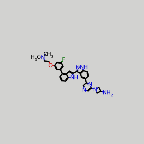 CN(C)CCOc1cc(F)cc(-c2cccc3[nH]c(-c4n[nH]c5ccc(-c6cncc(N7CC(N)C7)n6)cc45)cc23)c1